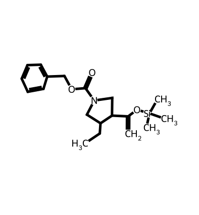 C=C(O[Si](C)(C)C)C1CN(C(=O)OCc2ccccc2)CC1CC